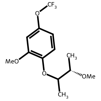 COc1cc(OC(F)(F)F)ccc1OC(C)[C@H](C)OC